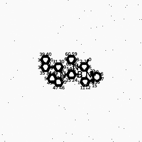 Cc1cc2c3c(c1)N1c4c(cccc4C4(C)CCCCC14C)B3c1ccc(N(c3cccc(-c4cccc5ccccc45)c3)c3cccc4ccccc34)cc1N2c1ccccc1